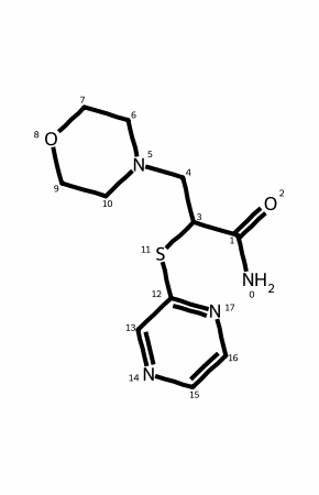 NC(=O)C(CN1CCOCC1)Sc1cnccn1